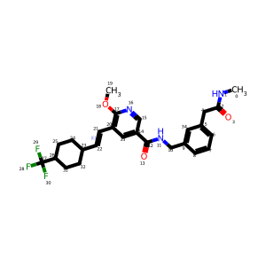 CNC(=O)Cc1cccc(CNC(=O)c2cnc(OC)c(/C=C/C3CCC(C(F)(F)F)CC3)c2)c1